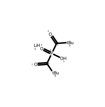 CC(C)(C)C(=O)P(=O)(O)C(=O)C(C)(C)C.[LiH]